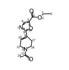 CCOC(=O)c1cnc(C2=CCN(C(C)=O)CC2)o1